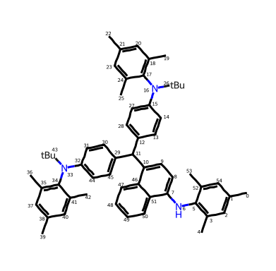 Cc1cc(C)c(Nc2ccc(C(c3ccc(N(c4c(C)cc(C)cc4C)C(C)(C)C)cc3)c3ccc(N(c4c(C)cc(C)cc4C)C(C)(C)C)cc3)c3ccccc23)c(C)c1